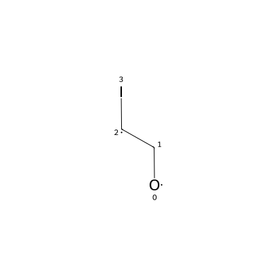 [O]C[CH]I